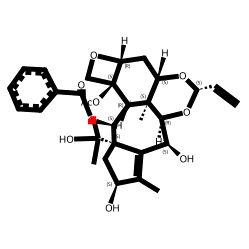 C=C[C@H]1O[C@H]2C[C@H]3OC[C@@]3(OC(C)=O)[C@H]3[C@H](OC(=O)c4ccccc4)[C@]4(C(C)(C)O)C[C@H](O)C(C)=C4[C@H](O)[C@H](O1)[C@]23C